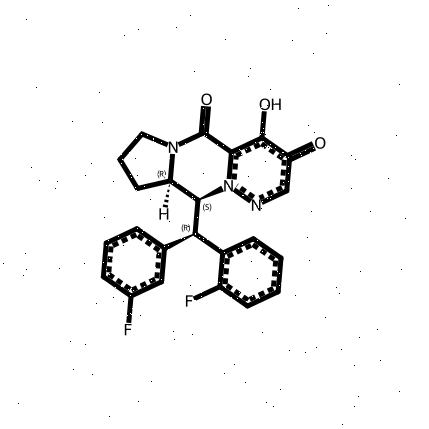 O=C1c2c(O)c(=O)cnn2[C@@H]([C@H](c2cccc(F)c2)c2ccccc2F)[C@H]2CCCN12